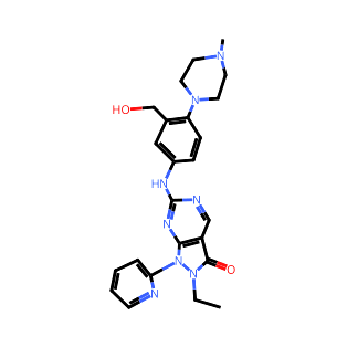 CCn1c(=O)c2cnc(Nc3ccc(N4CCN(C)CC4)c(CO)c3)nc2n1-c1ccccn1